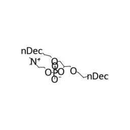 CCCCCCCCCCCCOCC(COCCCCCCCCCCCC)OP(=O)([O-])OCC[N+](C)(C)C